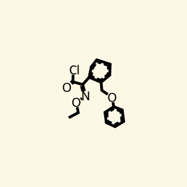 CCON=C(C(=O)Cl)c1ccccc1COc1ccccc1